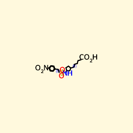 O=C(O)CCC/C=C/C1CCC(NS(=O)(=O)/C=C/c2ccc([N+](=O)[O-])cc2)C1